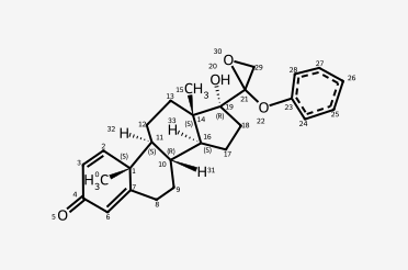 C[C@]12C=CC(=O)C=C1CC[C@@H]1[C@@H]2CC[C@@]2(C)[C@H]1CC[C@]2(O)C1(Oc2ccccc2)CO1